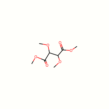 COC(=O)C(OC)C(OC)C(=O)OC